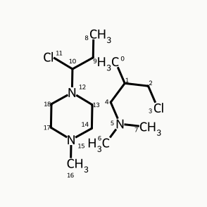 CC(CCl)CN(C)C.CCC(Cl)N1CCN(C)CC1